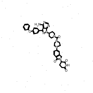 Nc1ncnc2c1c(-c1ccc(Oc3ccccc3)cc1)nn2C1CCN(C(=O)N2CCN(c3ccc4c(c3)CN(C3CCC(=O)NC3=O)C4=O)CC2)CC1